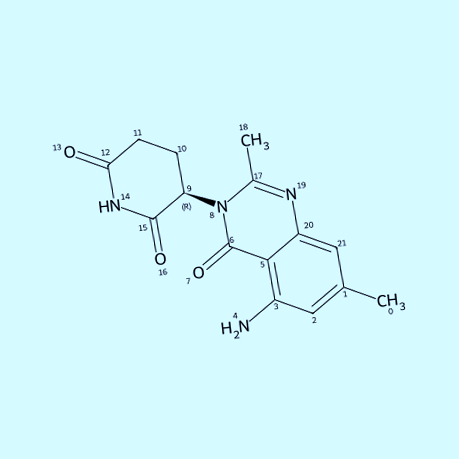 Cc1cc(N)c2c(=O)n([C@@H]3CCC(=O)NC3=O)c(C)nc2c1